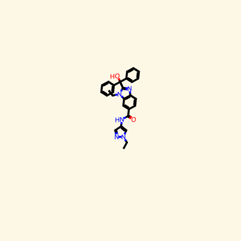 CCn1cc(NC(=O)c2ccc3nc(C(O)(c4ccccc4)c4ccccc4)n(CC)c3c2)cn1